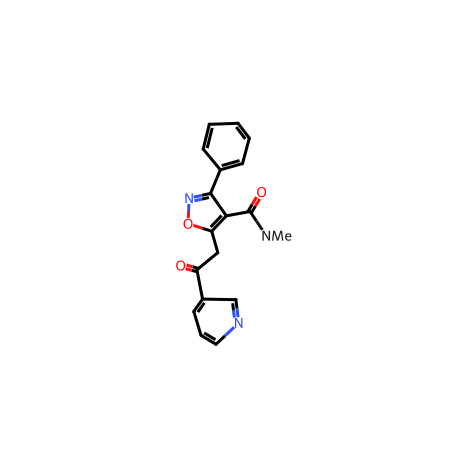 CNC(=O)c1c(-c2ccccc2)noc1CC(=O)c1cccnc1